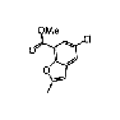 COC(=O)c1cc(Cl)cc2cc(C)oc12